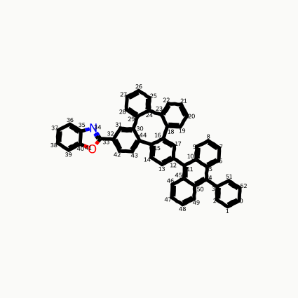 c1ccc(-c2c3ccccc3c(-c3ccc4c(c3)-c3ccccc3-c3ccccc3-c3cc(-c5nc6ccccc6o5)ccc3-4)c3ccccc23)cc1